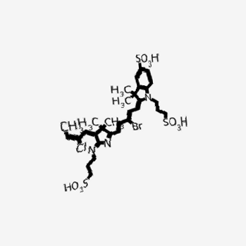 C\C=C(Cl)/C=C1\C(=N\CCCS(=O)(=O)O)N=C(/C=C/C(Br)=C/C=C2/N(CCCS(=O)(=O)O)c3ccc(S(=O)(=O)O)cc3C2(C)C)C1(C)C